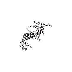 CC(C)C[C@@H]1NC(=O)[C@@H](n2cccc(NC(=O)[C@@H]3C[C@@H](F)CN3C(=O)C3(C(F)(F)F)CC(F)(F)C3)c2=O)CCCCCCCN(C)C(=O)[C@H](Cc2cc(Cl)ccc2-c2ccc(N3C[C@@H](C)O[C@H](C)C3)cc2)N(C)C1=O